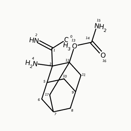 CC(=N)C1(N)C2CC3CC(C2)CC1(OC(N)=O)C3